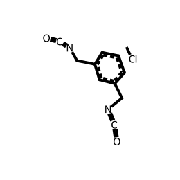 CCl.O=C=NCc1cccc(CN=C=O)c1